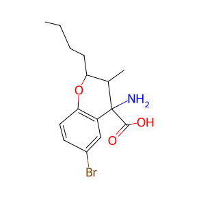 CCCCC1Oc2ccc(Br)cc2C(N)(C(=O)O)C1C